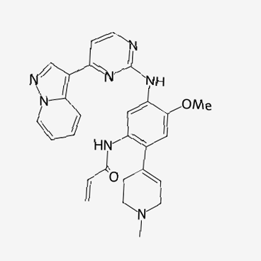 C=CC(=O)Nc1cc(Nc2nccc(-c3cnn4ccccc34)n2)c(OC)cc1C1=CCN(C)CC1